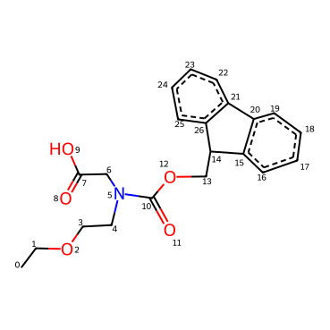 CCOCCN(CC(=O)O)C(=O)OCC1c2ccccc2-c2ccccc21